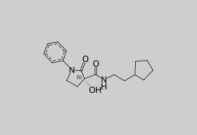 O=C(NCCC1CCCC1)[C@@]1(O)CCN(c2ccccc2)C1=O